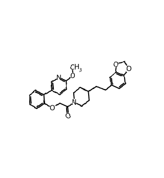 COc1ccc(-c2ccccc2OCC(=O)N2CCC(CCc3ccc4c(c3)OCO4)CC2)cn1